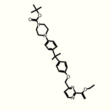 C=C(OCC)c1nccc(COc2ccc(C(C)(C)c3ccc(N4CCN(C(=O)OC(C)(C)C)CC4)cc3)cc2)n1